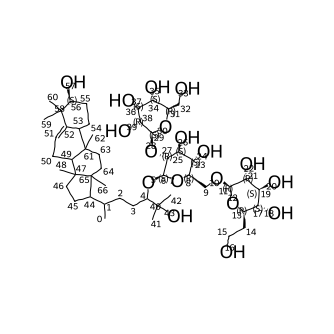 CC(CCC(O[C@@H]1O[C@H](CO[C@@H]2O[C@H](CCO)[C@@H](O)[C@H](O)[C@H]2O)[C@@H](O)[C@H](O)[C@H]1O[C@@H]1O[C@H](CO)[C@@H](O)[C@H](O)[C@H]1O)C(C)(C)O)C1CCC2(C)C3CC=C4C(CC[C@H](O)C4(C)C)C3(C)CCC12C